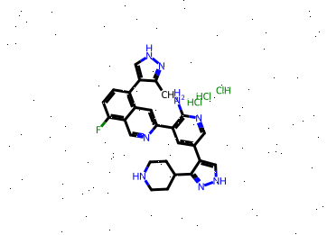 Cc1n[nH]cc1-c1ccc(F)c2cnc(-c3cc(-c4c[nH]nc4C4CCNCC4)cnc3N)cc12.Cl.Cl.Cl